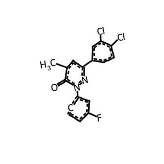 Cc1cc(-c2ccc(Cl)c(Cl)c2)nn(-c2cccc(F)c2)c1=O